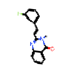 Cn1c(C=Cc2cccc(F)c2)nc2ccccc2c1=O